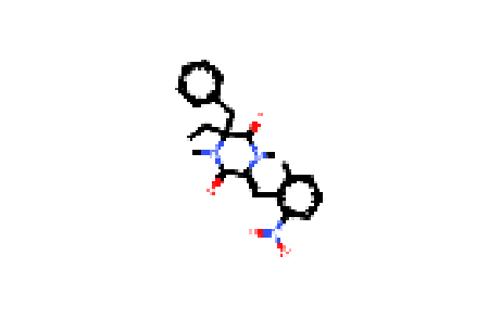 CCC1(Cc2ccccc2)C(=O)N(C)C(=Cc2c(C)cccc2[N+](=O)[O-])C(=O)N1C